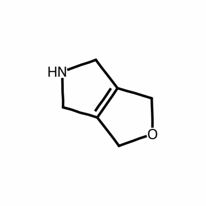 C1NCC2=C1COC2